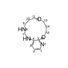 c1cnc2c(c1)NCNCCCOCCCO2